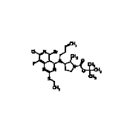 C=CCCN(c1nc(SCC)nc2c(F)c(Cl)nc(Br)c12)[C@@H]1CCN(C(=O)OC(C)(C)C)[C@@H]1C